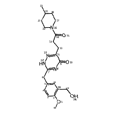 COc1ccc(Cc2nc(=O)c(CCC(=O)N3CCC(C)CC3)n[nH]2)cc1CO